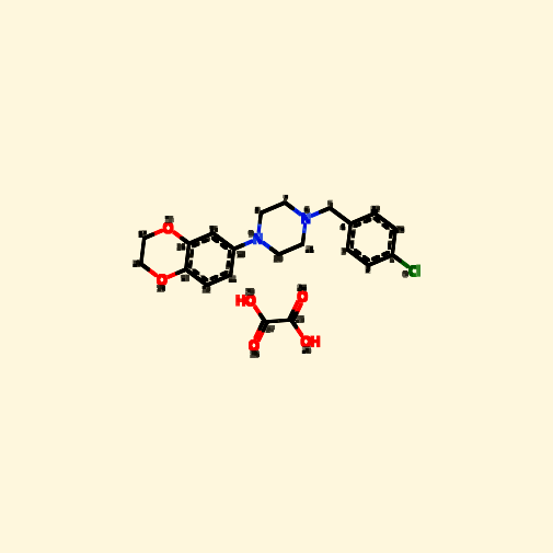 Clc1ccc(CN2CCN(c3ccc4c(c3)OCCO4)CC2)cc1.O=C(O)C(=O)O